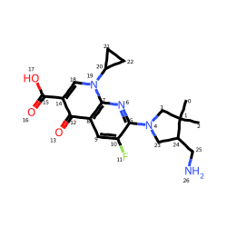 CC1(C)CN(c2nc3c(cc2F)c(=O)c(C(=O)O)cn3C2CC2)CC1CN